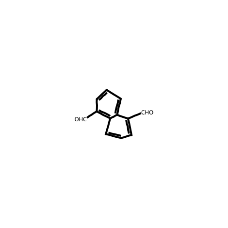 O=[C]c1cccc2c([C]=O)cccc12